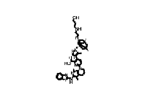 Cc1c(Nc2nc3ccccc3s2)nnc2c1CCCN2c1ccc(-c2cnn(C[C@]34C[C@]5(C)C[C@](C)(C3)C[C@@](OCCNCCCO)(C5)C4)c2C)c(C(O)O)n1